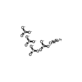 [Cr+3].[Ni+2].[O]=[Ti]([O-])[O-].[O]=[Ti]([O-])[O-].[O]=[Ti]([O-])[O-].[O]=[Ti]([O-])[O-].[Sb+3]